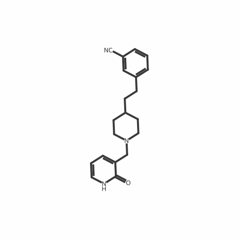 N#Cc1cccc(CCC2CCN(Cc3ccc[nH]c3=O)CC2)c1